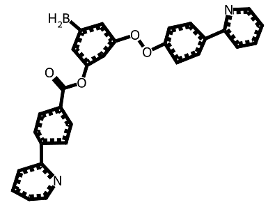 Bc1cc(OOc2ccc(-c3ccccn3)cc2)cc(OC(=O)c2ccc(-c3ccccn3)cc2)c1